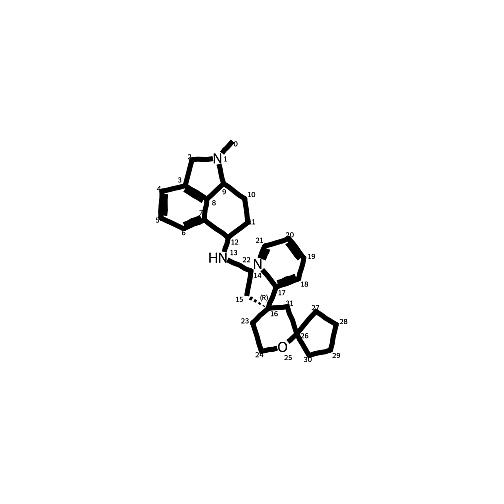 CN1Cc2cccc3c2C1CCC3NCC[C@@]1(c2ccccn2)CCOC2(CCCC2)C1